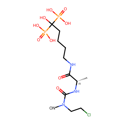 C[C@H](NC(=O)N(CCCl)N=O)C(=O)NCCCCC(O)(P(=O)(O)O)P(=O)(O)O